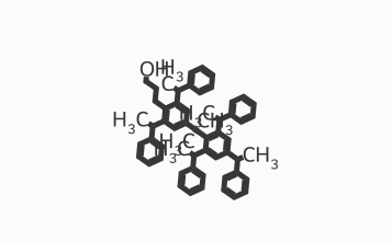 CC(c1ccccc1)c1cc(C(C)c2ccccc2)c(C(C)(C)c2cc(C(C)c3ccccc3)c(CCCO)c(C(C)c3ccccc3)c2)c(C(C)c2ccccc2)c1